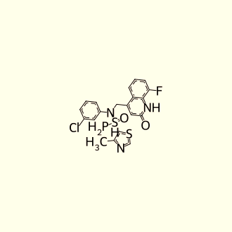 Cc1ncsc1[SH](=O)(P)N(Cc1cc(=O)[nH]c2c(F)cccc12)c1cccc(Cl)c1